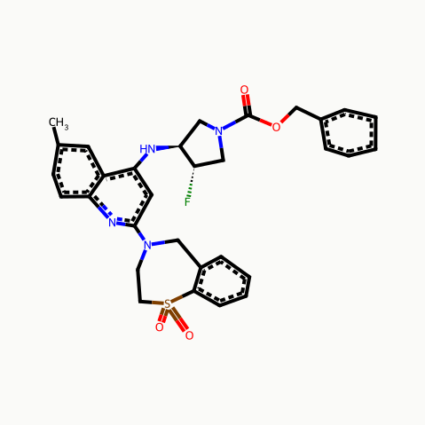 Cc1ccc2nc(N3CCS(=O)(=O)c4ccccc4C3)cc(N[C@H]3CN(C(=O)OCc4ccccc4)C[C@@H]3F)c2c1